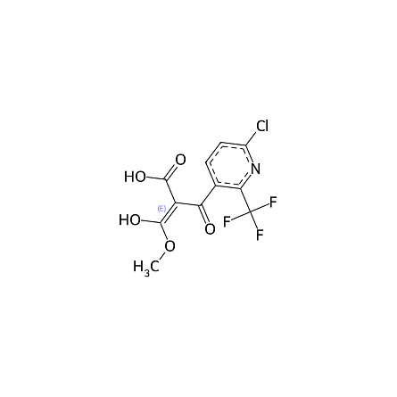 CO/C(O)=C(/C(=O)O)C(=O)c1ccc(Cl)nc1C(F)(F)F